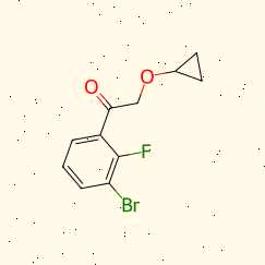 O=C(COC1CC1)c1cccc(Br)c1F